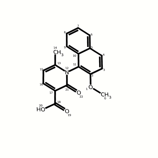 COc1ccc2ccccc2c1-n1c(C)ccc(C(=O)O)c1=O